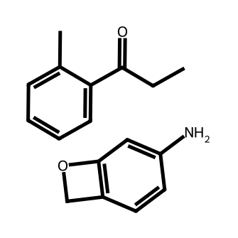 CCC(=O)c1ccccc1C.Nc1ccc2c(c1)OC2